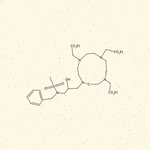 CCOC(=O)CN1CCN(CC(=O)OCC)CCN(CC(O)CN(Cc2ccccc2)S(C)(=O)=O)CCN(CC(=O)OCC)CC1